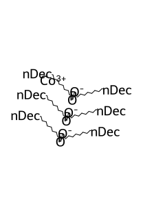 CCCCCCCCCCCCCCCCCCP(=O)([O-])CCCCCCCCCCCCCCCCCC.CCCCCCCCCCCCCCCCCCP(=O)([O-])CCCCCCCCCCCCCCCCCC.CCCCCCCCCCCCCCCCCCP(=O)([O-])CCCCCCCCCCCCCCCCCC.[Co+3]